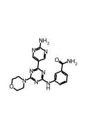 NC(=O)c1cccc(Nc2nc(-c3cnc(N)nc3)nc(N3CCOCC3)n2)c1